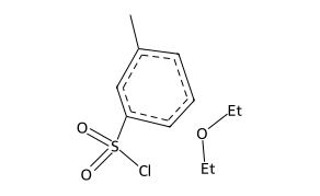 CCOCC.Cc1cccc(S(=O)(=O)Cl)c1